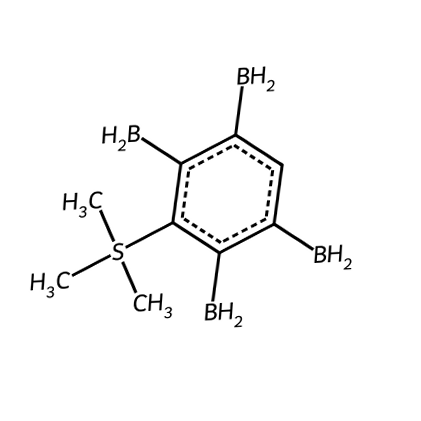 Bc1cc(B)c(B)c(S(C)(C)C)c1B